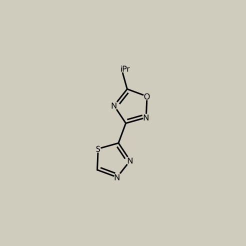 CC(C)c1nc(-c2nncs2)no1